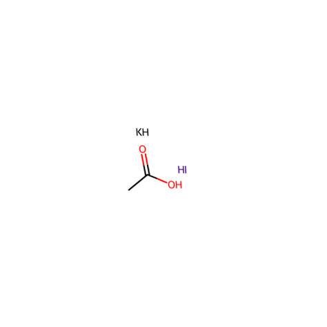 CC(=O)O.I.[KH]